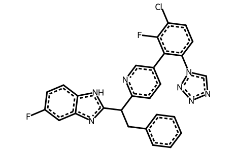 Fc1ccc2[nH]c(C(Cc3ccccc3)c3ccc(-c4c(-n5cnnn5)ccc(Cl)c4F)cn3)nc2c1